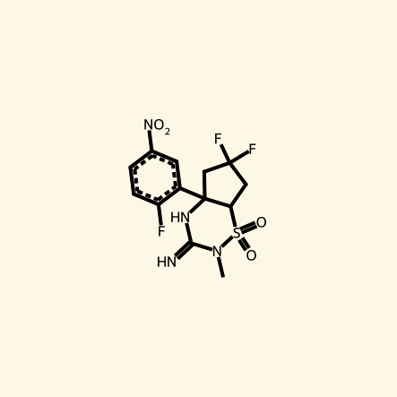 CN1C(=N)NC2(c3cc([N+](=O)[O-])ccc3F)CC(F)(F)CC2S1(=O)=O